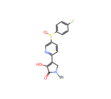 CC(C)N1CC(c2ccc([S+]([O-])c3ccc(F)cc3)cn2)=C(O)C1=O